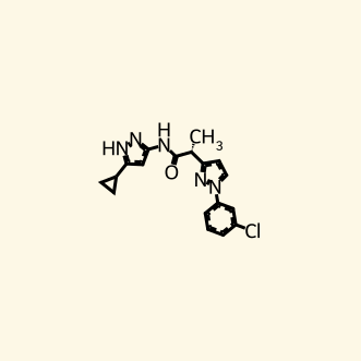 C[C@@H](C(=O)Nc1cc(C2CC2)[nH]n1)c1ccn(-c2cccc(Cl)c2)n1